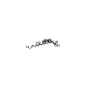 CCCCCC(O)CCCN(Cc1cccc(OCC(=O)O)c1)S(C)(=O)=O